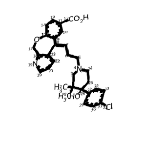 CC1(C)CN(CC/C=C2/c3cc(C(=O)O)ccc3OCc3ncccc32)CC[C@]1(O)c1ccc(Cl)cc1